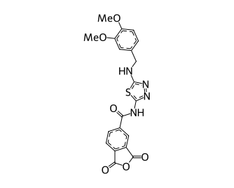 COc1ccc(CNc2nnc(NC(=O)c3ccc4c(c3)C(=O)OC4=O)s2)cc1OC